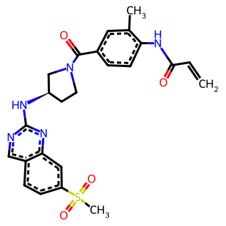 C=CC(=O)Nc1ccc(C(=O)N2CC[C@@H](Nc3ncc4ccc(S(C)(=O)=O)cc4n3)C2)cc1C